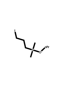 CCCO[Si](C)(C)CCCI